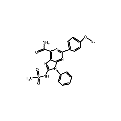 CCOc1ccc(-c2nc(C(N)=O)c3nc(NS(C)(=O)=O)n(-c4ccccc4)c3n2)cc1